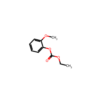 C[CH]OC(=O)Oc1ccccc1OC